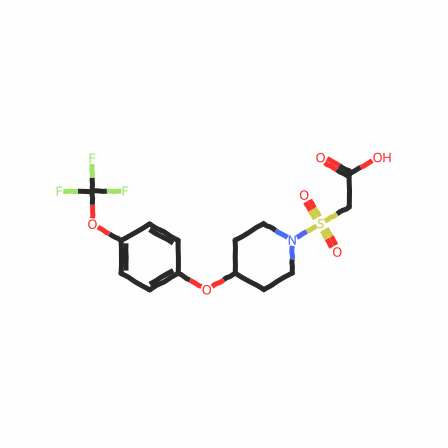 O=C(O)CS(=O)(=O)N1CCC(Oc2ccc(OC(F)(F)F)cc2)CC1